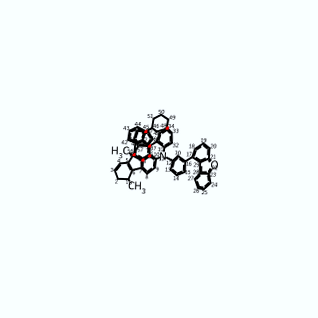 CC1CC=CC2=C1c1ccc(N(c3cccc(-c4cccc5oc6ccccc6c45)c3)c3ccccc3-c3cccc4cccc(C5CCCCC5)c34)cc1C2(C)c1ccccc1